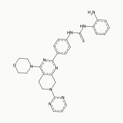 Nc1ccccc1NC(=S)Nc1ccc(-c2nc3c(c(N4CCOCC4)n2)CCN(c2ncccn2)C3)cc1